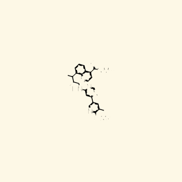 CNC(=O)c1ccnc2c(C(C)[C@H](C)CNc3cc(-c4cnc(OC)c(C)c4)ncn3)cccc12